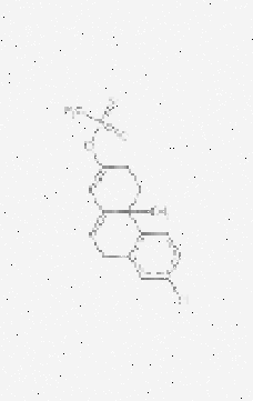 CC12CCC(OS(=O)(=O)C(F)(F)F)=CC1=CCc1cc(Cl)ccc12